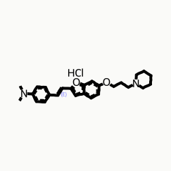 CN(C)c1ccc(/C=C/c2cc3ccc(OCCCN4CCCCC4)cc3o2)cc1.Cl